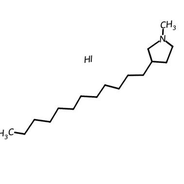 CCCCCCCCCCCCC1CCN(C)C1.I